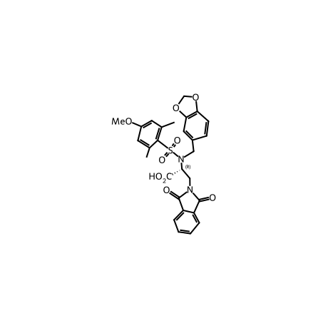 COc1cc(C)c(S(=O)(=O)N(Cc2ccc3c(c2)OCO3)[C@H](CN2C(=O)c3ccccc3C2=O)C(=O)O)c(C)c1